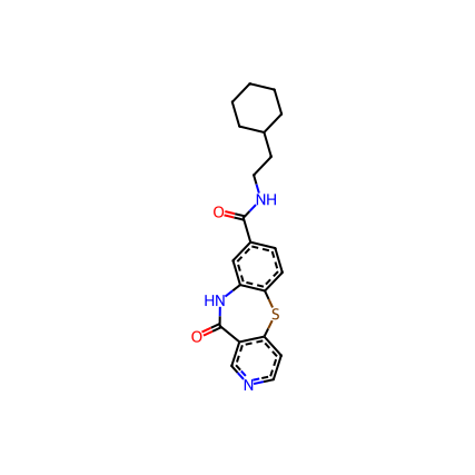 O=C(NCCC1CCCCC1)c1ccc2c(c1)NC(=O)c1cnccc1S2